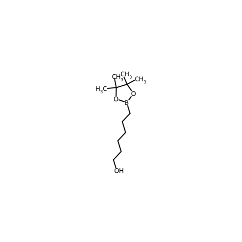 CC1(C)OB(CCCCCCO)OC1(C)C